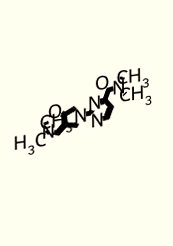 CN(C)C=C1CN(c2nccc(C(=O)N(C)C)n2)CC1=O